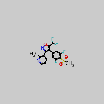 Cc1ncccc1-c1noc(C(F)F)c1-c1cc(F)c(S(C)(=O)=O)c(F)c1